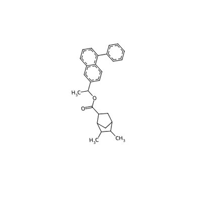 CC(OC(=O)C1CC2CC1C(C)C2C)c1ccc2c(-c3ccccc3)cccc2c1